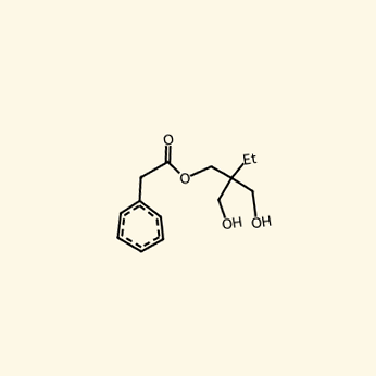 CCC(CO)(CO)COC(=O)Cc1ccccc1